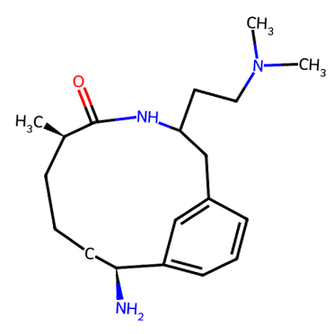 C[C@@H]1CCC[C@H](N)c2cccc(c2)CC(CCN(C)C)NC1=O